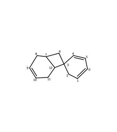 C1=CCC2(C=C1)CC1CC=CCC12